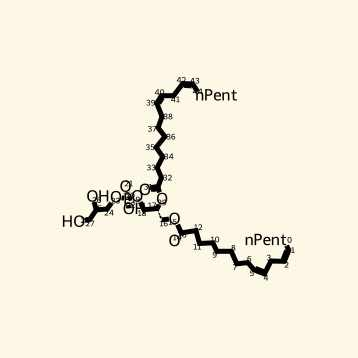 CCCCC/C=C\C/C=C\CCCCCCCC(=O)OC[C@H](COP(=O)(O)OCC(O)CO)OC(=O)CCCCCCC/C=C\C/C=C\CCCCC